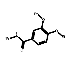 CCOc1ccc(C(=O)NC(C)C)cc1OCC